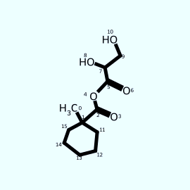 CC1(C(=O)OC(=O)C(O)CO)CCCCC1